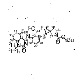 [2H]C([2H])([2H])n1c(=O)nc(N2CCOCc3c(C#CC4(C(F)(F)F)CCN(C(=O)OC(C)(C)C)C4)cccc32)c2c(F)cccc21